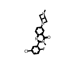 CN1CC2C1CN2c1ccc2nc(-c3cc(Cl)ccc3F)n(C)c(=O)c2c1